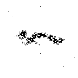 COc1cc2nc(C)nc(N[C@H](C)c3cc(NC(=O)O)cc(C(F)(F)F)c3)c2cc1C1CCC(C(=O)N2CCC(CCOCC3CCN(C(=O)c4ccc(Cl)c(N5CCC(=O)NC5=O)c4)CC3)CC2)CC1